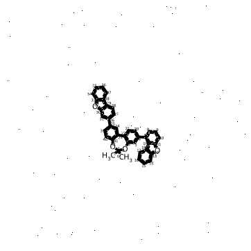 CC1(C)Oc2cc(-c3cccc4oc5ccccc5c34)ccc2-c2cc(-c3ccc4c(c3)oc3ccccc34)ccc2O1